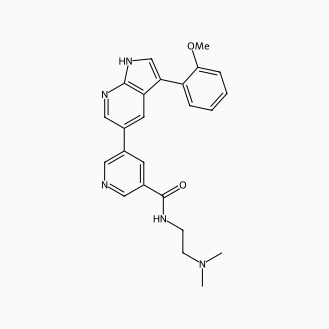 COc1ccccc1-c1c[nH]c2ncc(-c3cncc(C(=O)NCCN(C)C)c3)cc12